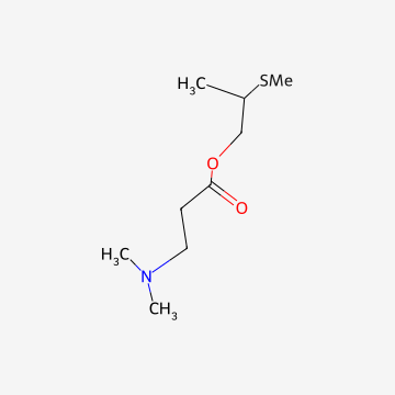 CSC(C)COC(=O)CCN(C)C